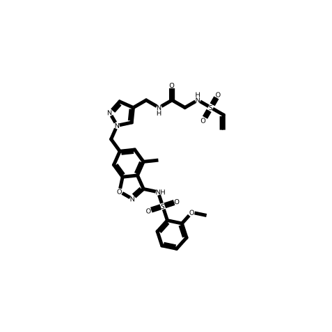 C=CS(=O)(=O)NCC(=O)NCc1cnn(Cc2cc(C)c3c(NS(=O)(=O)c4ccccc4OC)noc3c2)c1